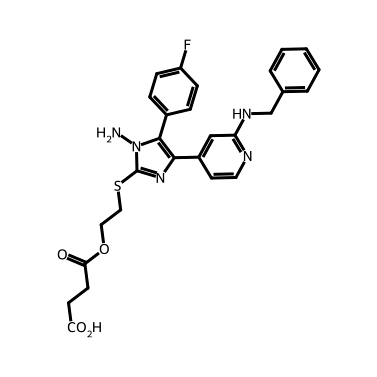 Nn1c(SCCOC(=O)CCC(=O)O)nc(-c2ccnc(NCc3ccccc3)c2)c1-c1ccc(F)cc1